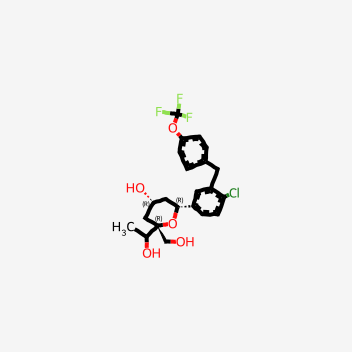 CC(O)[C@]1(CO)C[C@H](O)C[C@H](c2ccc(Cl)c(Cc3ccc(OC(F)(F)F)cc3)c2)O1